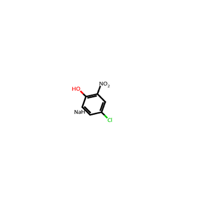 O=[N+]([O-])c1cc(Cl)ccc1O.[NaH]